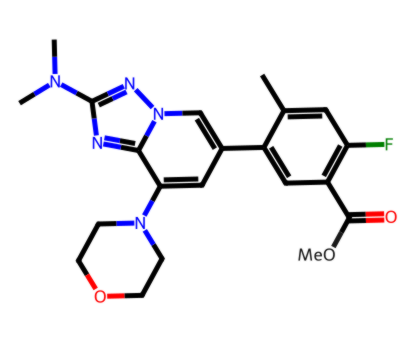 COC(=O)c1cc(-c2cc(N3CCOCC3)c3nc(N(C)C)nn3c2)c(C)cc1F